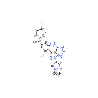 Nc1ncnc2c1c(-c1ccc(C(=O)c3ccc(F)cc3)cc1F)nn2C1CCN(C(=O)O)C1